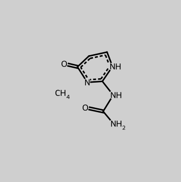 C.NC(=O)Nc1nc(=O)cc[nH]1